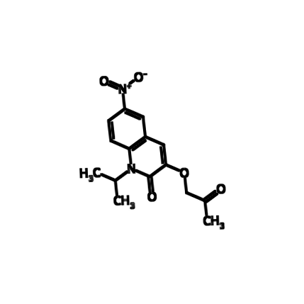 CC(=O)COc1cc2cc([N+](=O)[O-])ccc2n(C(C)C)c1=O